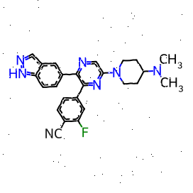 CN(C)C1CCN(c2cnc(-c3ccc4[nH]ncc4c3)c(-c3ccc(C#N)c(F)c3)n2)CC1